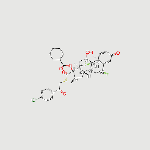 C[C@@H]1C[C@H]2[C@@H]3C[C@H](F)C4=CC(=O)C=C[C@]4(C)[C@@]3(F)[C@@H](O)C[C@]2(C)[C@@]1(OC(=O)C1CCCCC1)C(=O)SCC(=O)c1ccc(Cl)cc1